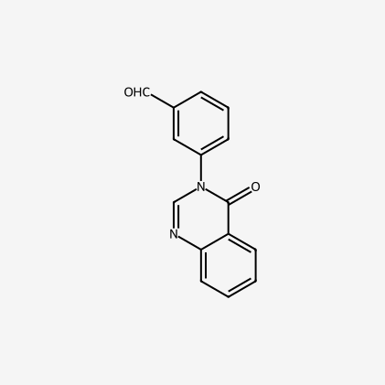 O=Cc1cccc(-n2cnc3ccccc3c2=O)c1